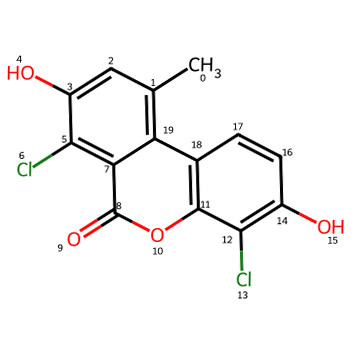 Cc1cc(O)c(Cl)c2c(=O)oc3c(Cl)c(O)ccc3c12